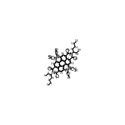 CCCCC(CC)N1C(=O)c2cc(N=C=S)c3c4c(N=C=S)cc5c6c(cc(N=C=S)c(c7c(N=C=S)cc(c2c37)C1=O)c64)C(=O)N(C(CC)CCCC)C5=O